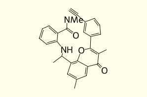 C#Cc1cccc(-c2oc3c(C(C)Nc4ccccc4C(=O)NC)cc(C)cc3c(=O)c2C)c1